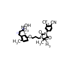 CC(/C=C\c1cc(OCCCN2C(=O)N(c3ccc(C#N)c(C(F)(F)F)c3)C(=O)C2(C)C)ccc1C)=N\O